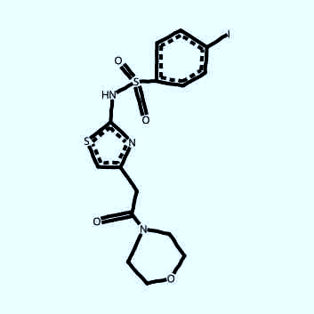 O=C(Cc1csc(NS(=O)(=O)c2ccc(I)cc2)n1)N1CCOCC1